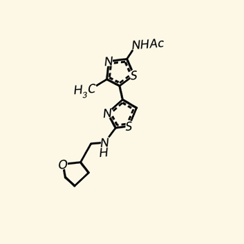 CC(=O)Nc1nc(C)c(-c2csc(NCC3CCCO3)n2)s1